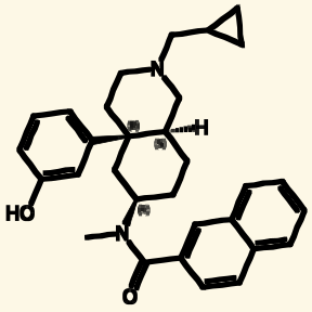 CN(C(=O)c1ccc2ccccc2c1)[C@@H]1CC[C@@H]2CN(CC3CC3)CC[C@@]2(c2cccc(O)c2)C1